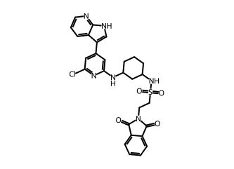 O=C1c2ccccc2C(=O)N1CCS(=O)(=O)NC1CCCC(Nc2cc(-c3c[nH]c4ncccc34)cc(Cl)n2)C1